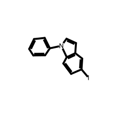 Ic1ccc2c(ccn2-c2ccccc2)c1